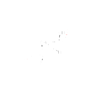 C[C@]12CCC(=O)C[C@H]1CC[C@@H]1C2=CC[C@]2(C)C(=O)CC[C@@H]12